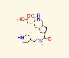 CN(CCC1CCNCC1)C(=O)c1ccc2c(c1)C[C@H](CC(=O)O)C(=O)NC2